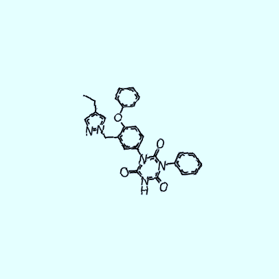 CCc1cnn(Cc2cc(-n3c(=O)[nH]c(=O)n(-c4ccccc4)c3=O)ccc2Oc2ccccc2)c1